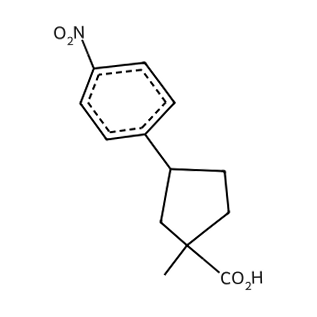 CC1(C(=O)O)CCC(c2ccc([N+](=O)[O-])cc2)C1